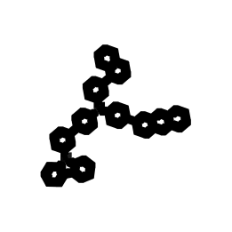 c1cc(-c2cccc3ccccc23)cc(N(c2ccc(-c3cccc(-n4c5ccccc5c5ccccc54)c3)cc2)c2ccc(-c3ccc4cc5ccccc5cc4c3)cc2)c1